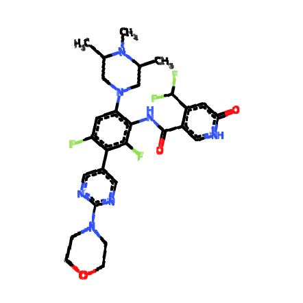 CC1CN(c2cc(F)c(-c3cnc(N4CCOCC4)nc3)c(F)c2NC(=O)c2c[nH]c(=O)cc2C(F)F)CC(C)N1C